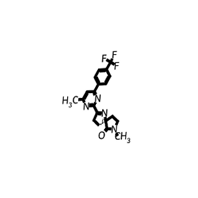 Cc1cc(-c2ccc(C(F)(F)F)cc2)nc(C2=N[C@@]3(CC2)CCN(C)C3=O)n1